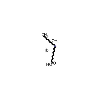 CCCCCCC(O)C/C=C\CCCCCCCC(=O)O.[Tb]